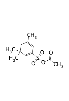 CC(=O)OS(=O)(=O)C1=CC(C)(C)CC(C)=C1